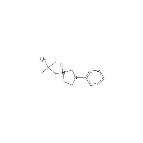 CC(C)(N)C[N+]1([O-])CCN(c2ccccc2)C1